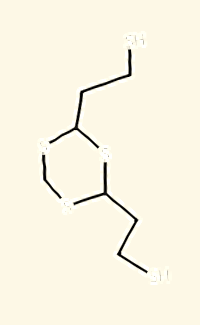 SCCC1SCSC(CCS)S1